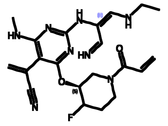 C=CC(=O)N1CCC(F)[C@@H](Oc2nc(N/C(C=N)=C/NCC)nc(NC)c2C(=C)C#N)C1